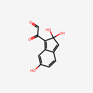 O=CC(=O)C1=c2cc(O)ccc2=CC1(O)O